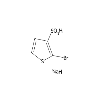 O=S(=O)(O)c1ccsc1Br.[NaH]